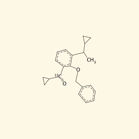 CC(c1cccc([13C](=O)C2CC2)c1OCc1ccccc1)C1CC1